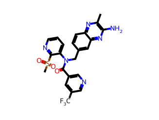 Cc1nc2ccc(CN(C(=O)c3cncc(C(F)(F)F)c3)c3cccnc3S(C)(=O)=O)cc2nc1N